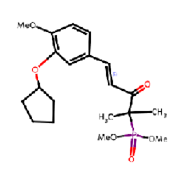 COc1ccc(/C=C/C(=O)C(C)(C)P(=O)(OC)OC)cc1OC1CCCC1